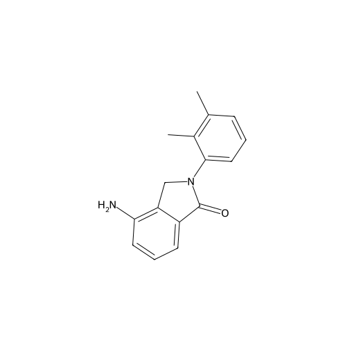 Cc1cccc(N2Cc3c(N)cccc3C2=O)c1C